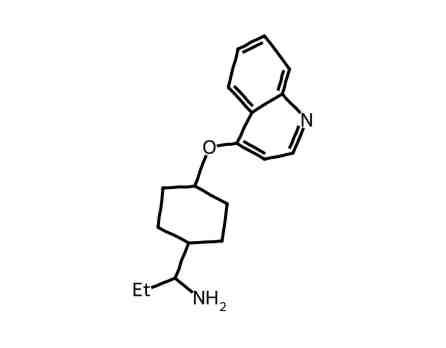 CCC(N)C1CCC(Oc2ccnc3ccccc23)CC1